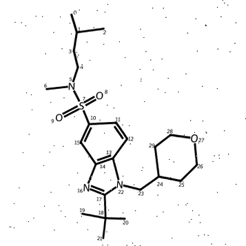 CC(C)CCN(C)S(=O)(=O)c1ccc2c(c1)nc(C(C)(C)C)n2CC1CCOCC1